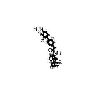 Nc1ccc(-c2ccc(CC(=O)Nc3cc(C4(C(F)(F)F)CCC4)on3)cc2)c(F)n1